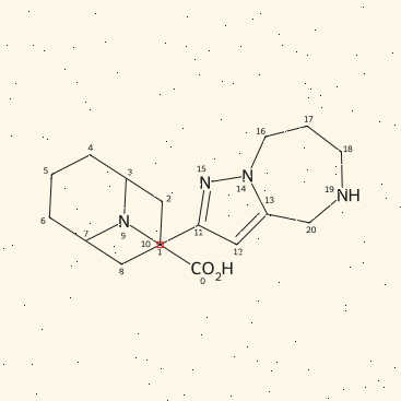 O=C(O)C1CC2CCCC(C1)N2Cc1cc2n(n1)CCCNC2